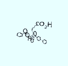 O=C(O)CCC/C=C\C[C@@H]1[C@@H](COC(=O)c2ccccc2)[C@H]2C[C@@]1(C(=O)c1ccc(-c3ccccc3)cc1)CO2